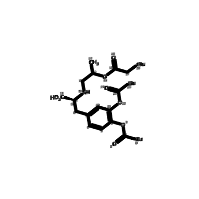 CCC(C)C(=O)Oc1ccc(C[C@H](NCC(C)OC(=O)CC(C)(C)C)C(=O)O)cc1OC(=O)C(C)CC